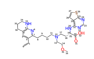 C=Cc1cc2c(nc1CCCCN(CCOC)CC[C@H](Nc1ncnc3sccc13)C(=O)O)NCCC2